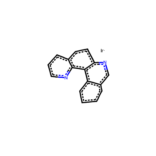 [Ir].c1ccc2c(c1)cnc1ccc3cccnc3c12